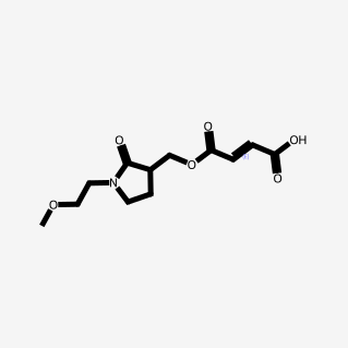 COCCN1CCC(COC(=O)/C=C/C(=O)O)C1=O